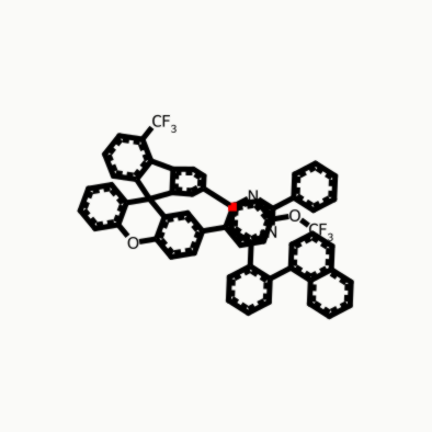 FC(F)(F)Oc1ccc(-c2ccc3c(c2)C2(c4ccccc4O3)c3cc(-c4cc(-c5ccccc5-c5cccc6ccccc56)nc(-c5ccccc5)n4)ccc3-c3c(C(F)(F)F)cccc32)cc1